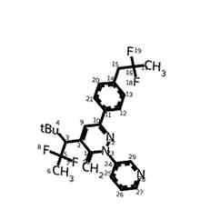 C=C1C(C(C(C)(C)C)C(C)(F)F)=CC(c2ccc(CC(C)(F)F)cc2)=NN1c1cccnc1